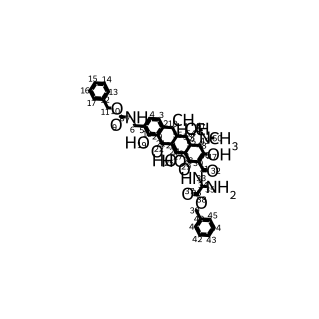 CC1c2ccc(CNC(=O)OCc3ccccc3)c(O)c2C(=O)C2=C(O)C3(O)C(=O)C(C(=O)NC(N)C(=O)OCc4ccccc4)=C(O)C(N(C)C)C3C(O)C21